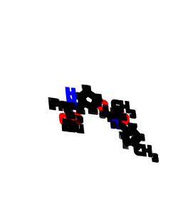 Cc1ccc(-c2nc(COC3CCCC(CN[C@H](C(=O)OC(C)(C)C)C(C)C)C3)c(C)o2)cc1